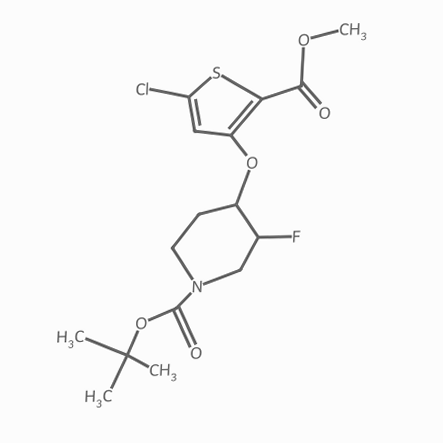 COC(=O)c1sc(Cl)cc1OC1CCN(C(=O)OC(C)(C)C)CC1F